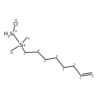 C=CCCCCCC[Si](C)(C)[SiH2]Cl